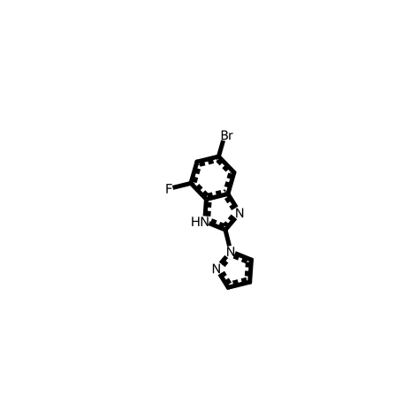 Fc1cc(Br)cc2nc(-n3cccn3)[nH]c12